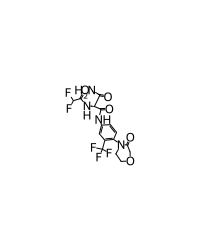 NC(=O)[C@H](NC(=O)C(F)F)C(=O)Nc1ccc(N2CCOCC2=O)c(C(F)(F)F)c1